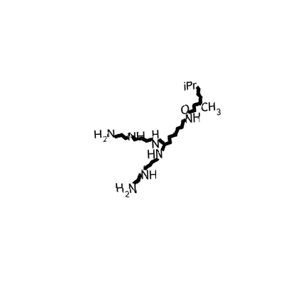 CC(C)CCCC(C)CCC(=O)NCCCCCCC(CNCCCCNCCCN)CNCCCCNCCCN